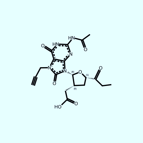 C#CCn1c(=O)n([C@@H]2O[C@H](C(=O)CC)C[C@@H]2CC(=O)O)c2nc(NC(C)=O)[nH]c(=O)c21